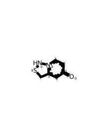 O=c1[c]cn2c(c1)CSN2